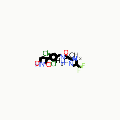 CC(C)(C(=O)NCc1cc(Cl)c(C2CCC(=O)NC2=O)c(Cl)c1)c1ncc(C(F)F)cn1